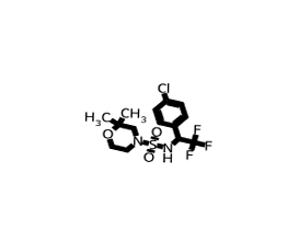 CC1(C)CN(S(=O)(=O)NC(c2ccc(Cl)cc2)C(F)(F)F)CCO1